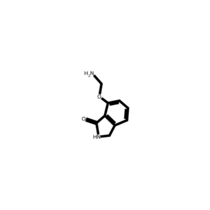 NCOc1cccc2c1C(=O)NC2